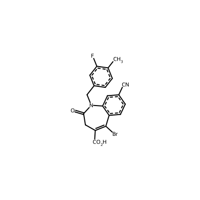 Cc1ccc(CN2C(=O)CC(C(=O)O)=C(Br)c3ccc(C#N)cc32)cc1F